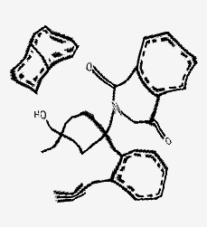 C#Cc1ccccc1C1(N2C(=O)c3ccccc3C2=O)CC(C)(O)C1.c1cc2ccc1-2